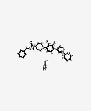 O=C(NCc1ccccc1)C1CCN(c2ccc(-c3cnn(C4C=CC=CO4)c3)c(F)c2F)CC1.[H+].[H+].[H+].[H+]